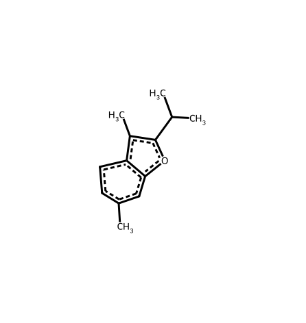 Cc1ccc2c(C)c(C(C)C)oc2c1